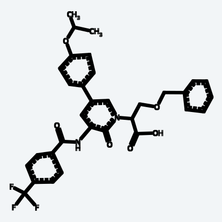 CC(C)Oc1ccc(-c2cc(NC(=O)c3ccc(C(F)(F)F)cc3)c(=O)n(C(COCc3ccccc3)C(=O)O)c2)cc1